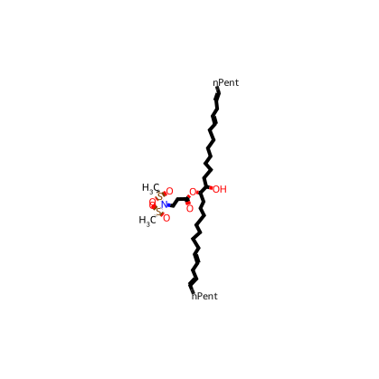 CCCCCC=CCC=CCCCCCCCC(O)C(CCCCCCCC=CCC=CCCCCC)OC(=O)CCN(S(C)(=O)=O)S(C)(=O)=O